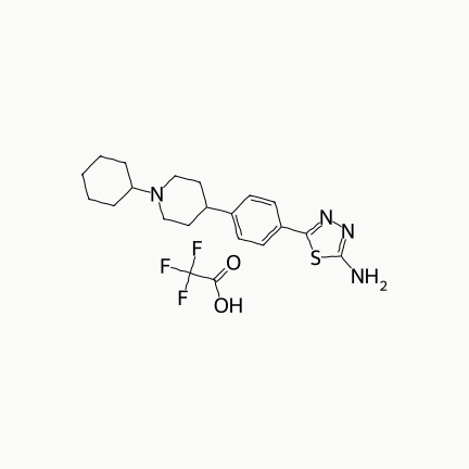 Nc1nnc(-c2ccc(C3CCN(C4CCCCC4)CC3)cc2)s1.O=C(O)C(F)(F)F